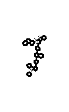 c1ccc(-n2c3ccccc3c3c(-c4ccc(-c5ccc(-c6ccc(-c7cc8c9ccccc9sc8c8nc9c%10ccc%11ccccc%11c%10ccc9n78)cc6)c6ccccc56)cc4)cccc32)cc1